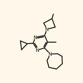 Cc1c(N2CCCCCC2)nc(C2CC2)nc1N1CC(C)C1